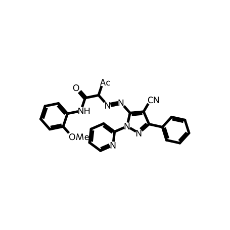 COc1ccccc1NC(=O)C(N=Nc1c(C#N)c(-c2ccccc2)nn1-c1ccccn1)C(C)=O